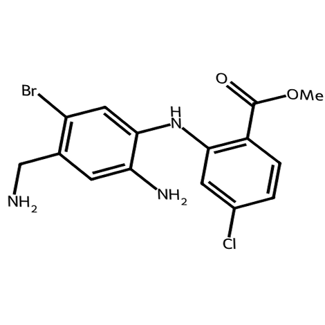 COC(=O)c1ccc(Cl)cc1Nc1cc(Br)c(CN)cc1N